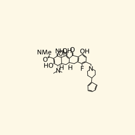 CNC(=O)C1=C(O)[C@@H](N(C)C)[C@@H]2C[C@@H]3Cc4c(F)c(CN5CCC(c6ccccc6)CC5)cc(O)c4C(=O)C3=C(O)[C@]2(O)C1=N